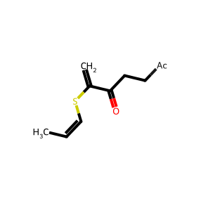 C=C(S/C=C\C)C(=O)CCC(C)=O